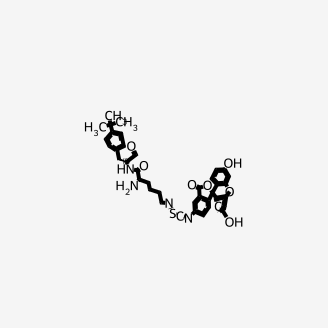 CC(C)(C)c1ccc(C[C@@H](C=O)NC(=O)C(N)CCCCN=S=C=Nc2ccc3c(c2)C(=O)OC32c3ccc(O)cc3Oc3cc(O)ccc32)cc1